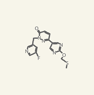 CSCOc1ncc(-c2ccc(=O)n(Cc3cncc(F)c3)n2)cn1